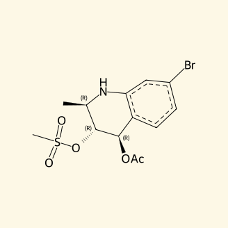 CC(=O)O[C@@H]1c2ccc(Br)cc2N[C@H](C)[C@H]1OS(C)(=O)=O